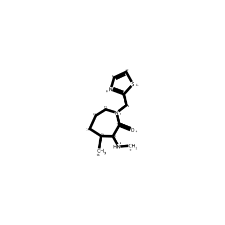 CNC1C(=O)N(Cc2nccs2)CCCC1C